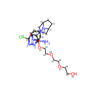 Nc1nnc(Cl)cc1N1CC2CCC(C1)N2c1ccnc(OCCOCCOCCO)c1